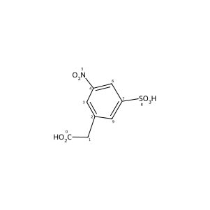 O=C(O)Cc1cc([N+](=O)[O-])cc(S(=O)(=O)O)c1